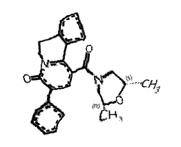 C[C@@H]1CN(C(=O)c2cc(-c3ccccc3)c(=O)n3c2-c2ccccc2CC3)C[C@H](C)O1